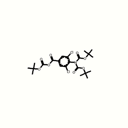 CC(C)(C)OC(=O)OC(=O)c1cc(Cl)c(N(C(=O)OC(C)(C)C)C(=O)OC(C)(C)C)c(Cl)c1